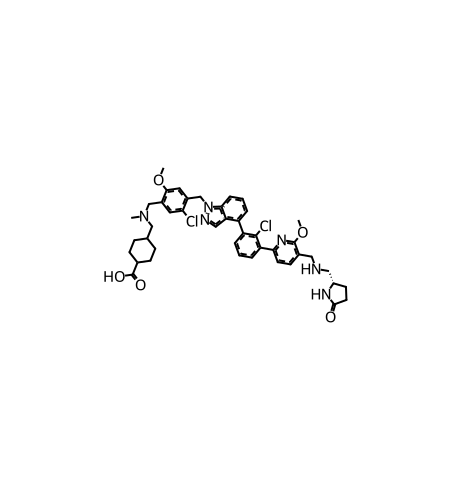 COc1cc(Cn2ncc3c(-c4cccc(-c5ccc(CNC[C@@H]6CCC(=O)N6)c(OC)n5)c4Cl)cccc32)c(Cl)cc1CN(C)CC1CCC(C(=O)O)CC1